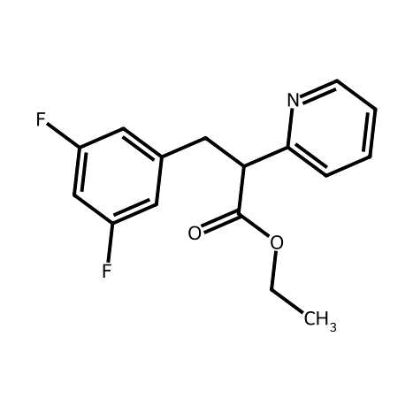 CCOC(=O)C(Cc1cc(F)cc(F)c1)c1ccccn1